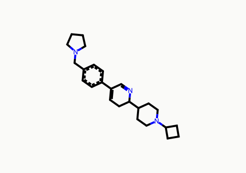 C1=NC(C2CCN(C3CCC3)CC2)CC=C1c1ccc(CN2CCCC2)cc1